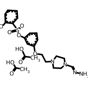 CC(=O)O.CC(=O)O.NN=CN1CCN(CCOc2cccc(OS(=O)(=O)c3ccccc3Cl)c2)CC1